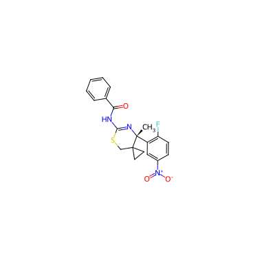 C[C@]1(c2cc([N+](=O)[O-])ccc2F)N=C(NC(=O)c2ccccc2)SCC12CC2